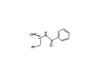 CC(C)C[C@@H]([C]=O)NC(=O)c1ccccc1